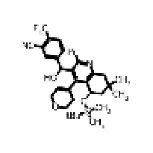 CC(C)c1nc2c(c(C3=CCOCC3)c1C(O)c1ccc(C(F)(F)F)c(C#N)c1)[C@H](O[Si](C)(C)C(C)(C)C)CC(C)(C)C2